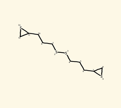 C(CSSCCCC1CS1)CC1CS1